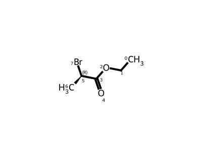 CCOC(=O)[C@@H](C)Br